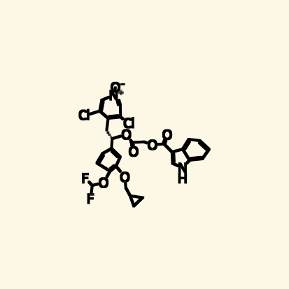 O=C(COC(=O)c1c[nH]c2ccccc12)O[C@@H](Cc1c(Cl)c[n+]([O-])cc1Cl)c1ccc(OC(F)F)c(OCC2CC2)c1